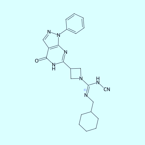 N#CN/C(=N\CC1CCCCC1)N1CC(c2nc3c(cnn3-c3ccccc3)c(=O)[nH]2)C1